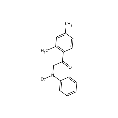 CCN(CC(=O)c1ccc(C)cc1C)c1ccccc1